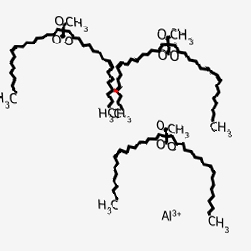 CCCCCCCC/C=C\CCCCCCCCC(CCCCCCCC/C=C\CCCCCCCC)(C(C)=O)C(=O)[O-].CCCCCCCC/C=C\CCCCCCCCC(CCCCCCCC/C=C\CCCCCCCC)(C(C)=O)C(=O)[O-].CCCCCCCC/C=C\CCCCCCCCC(CCCCCCCC/C=C\CCCCCCCC)(C(C)=O)C(=O)[O-].[Al+3]